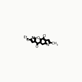 CCOc1cc(C(=O)C2=C(OC)C(Cl)=C3[C]=C(C)N=C3C2)cs1